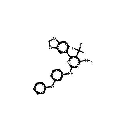 Nc1nc(Nc2cccc(Oc3ccccc3)c2)nc(-c2ccc3c(c2)OCO3)c1C(F)(F)F